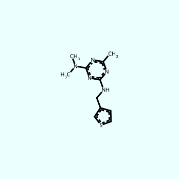 Cc1nc(NCc2ccsc2)nc(N(C)C)n1